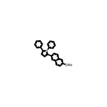 COc1ccc2cc(-c3ccc(-c4ccccc4)n3-c3ccccc3)ccc2c1